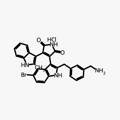 Cc1[nH]c2ccccc2c1C1=C(c2c(Cc3cccc(CN)c3)[nH]c3ccc(Br)cc23)C(=O)NC1=O.Cl